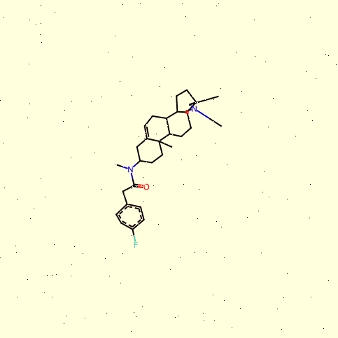 CC1C2CCC3C4CC=C5CC(N(C)C(=O)Cc6ccc(F)cc6)CCC5(C)C4CCC32CN1C